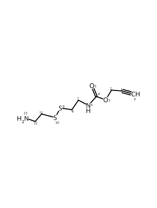 C#CCOC(=O)NCCSSCCN